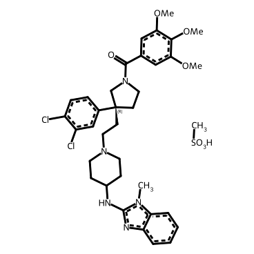 COc1cc(C(=O)N2CC[C@](CCN3CCC(Nc4nc5ccccc5n4C)CC3)(c3ccc(Cl)c(Cl)c3)C2)cc(OC)c1OC.CS(=O)(=O)O